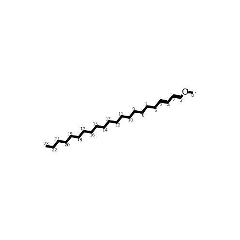 [CH2]O/C=C/C=C/CCCCCCCCCCCCCCCCCC